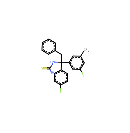 NC(=S)NC(Cc1ccccc1)(c1ccc(F)cc1)c1cc(F)cc(C(F)(F)F)c1